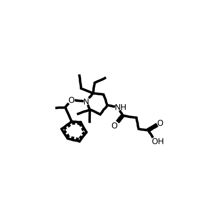 CCC1(CC)CC(NC(=O)CCC(=O)O)CC(C)(C)N1OC(C)c1ccccc1